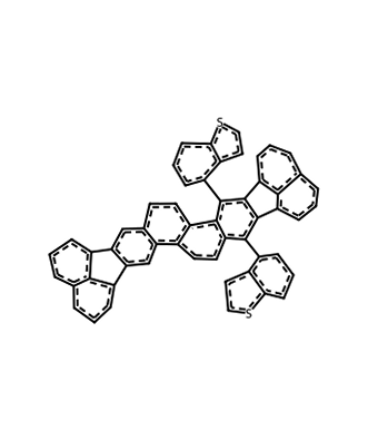 c1cc2c3c(cccc3c1)-c1cc3c(ccc4c3ccc3c(-c5cccc6sccc56)c5c(c(-c6cccc7sccc67)c34)-c3cccc4cccc-5c34)cc1-2